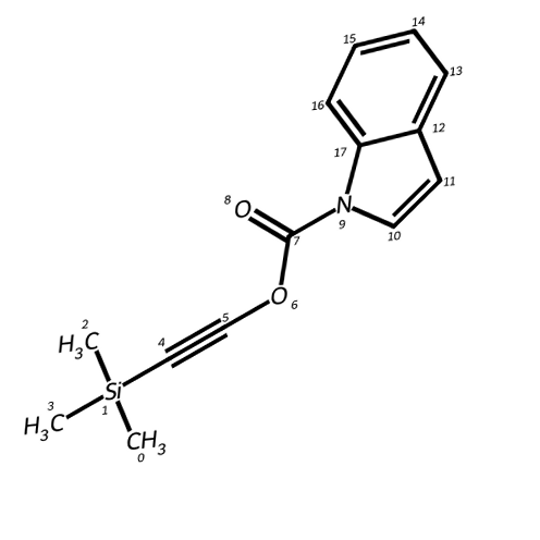 C[Si](C)(C)C#COC(=O)n1ccc2ccccc21